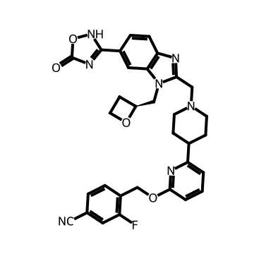 N#Cc1ccc(COc2cccc(C3CCN(Cc4nc5ccc(-c6nc(=O)o[nH]6)cc5n4C[C@@H]4CCO4)CC3)n2)c(F)c1